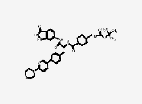 CC(C)(C)OC(=O)NCC1CCC(C(=O)N[C@@H](Cc2ccc(-c3ccc(N4CCOCC4)nc3)cc2)C(=O)Nc2ccc3c(=O)[nH][nH]c3c2)CC1